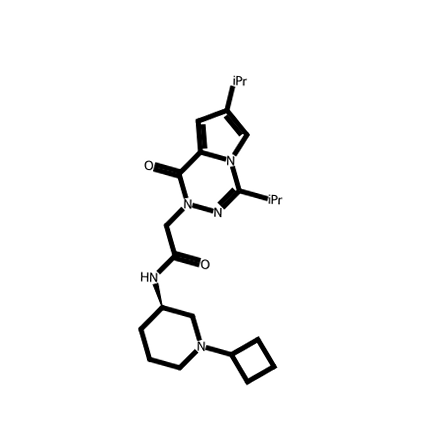 CC(C)c1cc2c(=O)n(CC(=O)N[C@@H]3CCCN(C4CCC4)C3)nc(C(C)C)n2c1